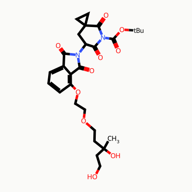 CC(O)(CCO)CCOCCOc1cccc2c1C(=O)N(C1CC3(CC3)C(=O)N(C(=O)OC(C)(C)C)C1=O)C2=O